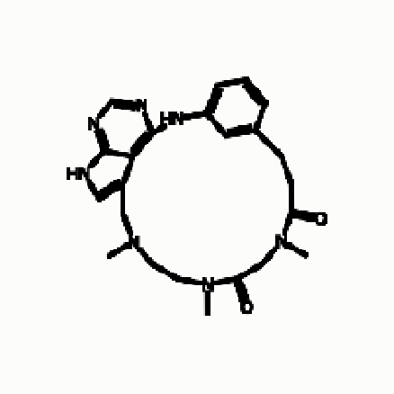 CN1CCN(C)C(=O)CN(C)C(=O)CCc2cccc(c2)Nc2ncnc3[nH]cc(c23)C1